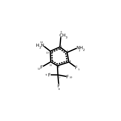 Cc1c(N)c(F)c(C(F)(F)F)c(F)c1N